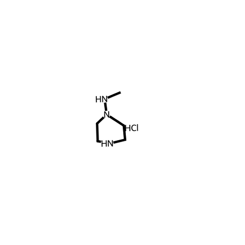 CNN1CCNCC1.Cl